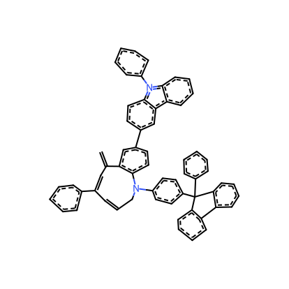 C=C1/C=C(c2ccccc2)\C=C/CN(c2ccc(C3(c4ccccc4)c4ccccc4-c4ccccc43)cc2)c2ccc(-c3ccc4c(c3)c3ccccc3n4-c3ccccc3)cc21